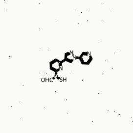 O=CN(S)c1cccc(-c2cnn(-c3cccnc3)c2)n1